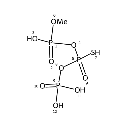 COP(=O)(O)OP(=O)(S)OP(=O)(O)O